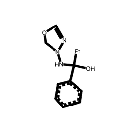 CCC(O)(NN1COC=N1)c1ccccc1